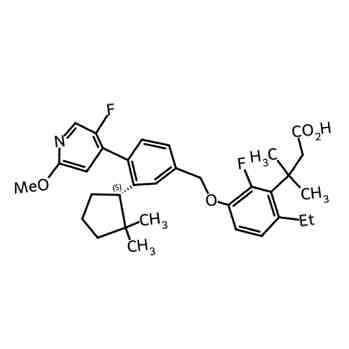 CCc1ccc(OCc2ccc(-c3cc(OC)ncc3F)c([C@H]3CCCC3(C)C)c2)c(F)c1C(C)(C)CC(=O)O